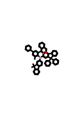 Cc1cc(-c2ccccc2)cc(-c2cccc3ccccc23)c1N(c1ccc2c(c1)C(C)(C)c1ccccc1-2)c1ccc2c(c1)C(c1ccccc1)(c1ccccc1)c1ccccc1-2